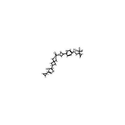 O=C(N1CC(c2ccc(NCC3(C(F)(F)F)CC3)cn2)C1)N1CC2(CC(c3nnc(C4CC4)[nH]3)C2)C1